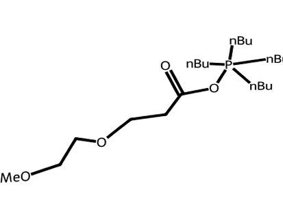 CCCCP(CCCC)(CCCC)(CCCC)OC(=O)CCOCCOC